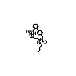 C=CCCc1nn(CC=CC)c(=O)n1Cc1ccc(-c2ccccc2-c2nnn[nH]2)cc1